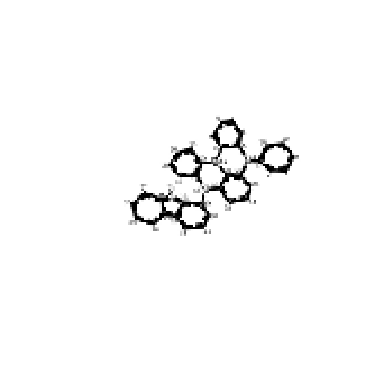 c1ccc(N2c3ccccc3B3c4ccccc4N(c4cccc5c4sc4ccccc45)c4cccc2c43)cc1